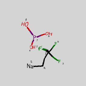 FC(F)(F)[CH2][Na].OP(O)O